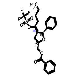 CCCC/C(OS(=O)(=O)C(F)(F)F)=C1/C[C@H](COC(=O)c2ccccc2)O[C@@H]1c1ccccc1